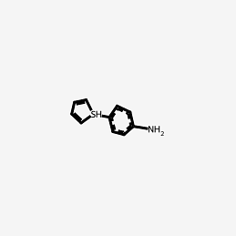 Nc1ccc([SH]2C=CC=C2)cc1